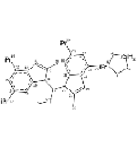 C1CC[SiH2]C1.[CH3][Ti][CH](C1C(C)=Cc2c(C(C)C)cc(C(C)C)cc21)C1C(C)=Cc2c(C(C)C)cc(C(C)C)cc21